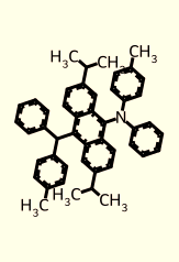 Cc1ccc(C(c2ccccc2)c2c3cc(C(C)C)ccc3c(N(c3ccccc3)c3ccc(C)cc3)c3cc(C(C)C)ccc23)cc1